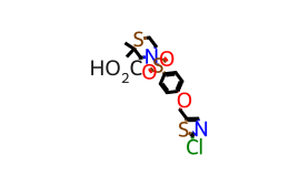 CC1(C)SCCN(S(=O)(=O)c2ccc(OCc3cnc(Cl)s3)cc2)C1C(=O)O